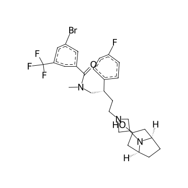 CN(C[C@@H](CCN1CC(N2[C@@H]3CC[C@H]2CC(O)C3)C1)c1ccc(F)cc1)C(=O)c1cc(Br)cc(C(F)(F)F)c1